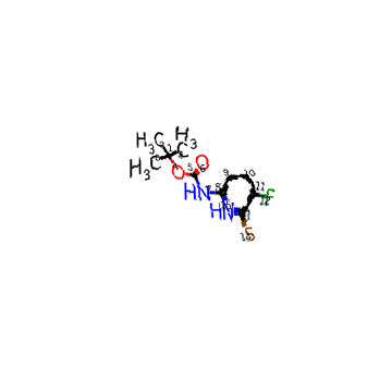 CC(C)(C)OC(=O)Nc1ccc(F)c(=S)[nH]1